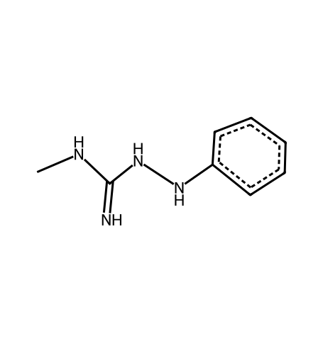 CNC(=N)NNc1ccccc1